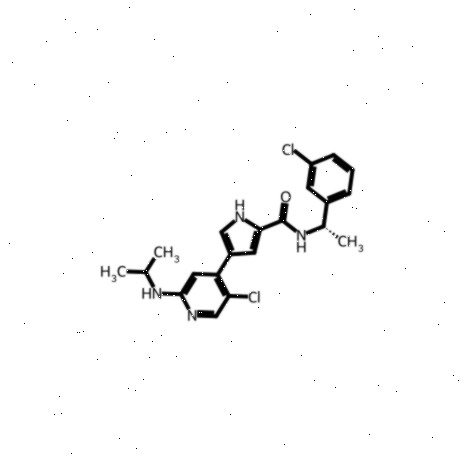 CC(C)Nc1cc(-c2c[nH]c(C(=O)N[C@@H](C)c3cccc(Cl)c3)c2)c(Cl)cn1